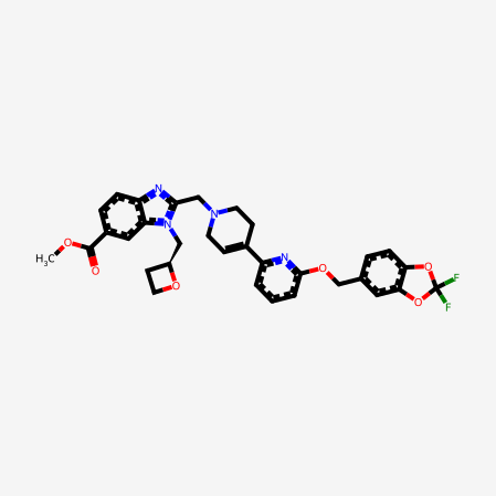 COC(=O)c1ccc2nc(CN3CC=C(c4cccc(OCc5ccc6c(c5)OC(F)(F)O6)n4)CC3)n(C[C@@H]3CCO3)c2c1